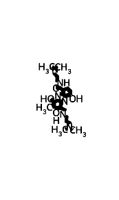 Cc1c(O)c(C=NCCCN(C)C)c2nc3c(O)ccc(C(=O)NCCCN(C)C)c3nc2c1O